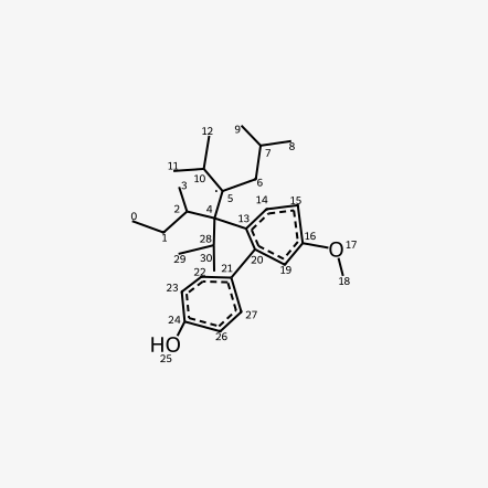 CCC(C)C([C](CC(C)C)C(C)C)(c1ccc(OC)cc1-c1ccc(O)cc1)C(C)C